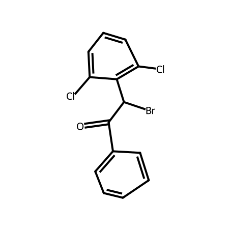 O=C(c1ccccc1)C(Br)c1c(Cl)cccc1Cl